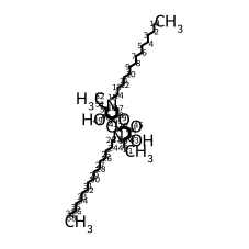 CCCCCCCCCCCCCCCCn1cc(Oc2cn(CCCCCCCCCCCCCCCC)c(CC)c(O)c2=O)c(=O)c(O)c1CC